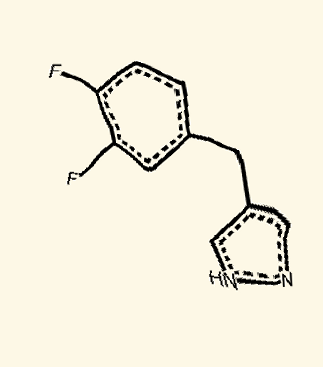 Fc1ccc(Cc2cn[nH]c2)cc1F